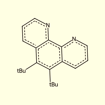 CC(C)(C)c1c(C(C)(C)C)c2cccnc2c2ncccc12